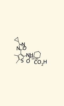 Cc1sc(NC(=O)[C@H]2CCCC[C@@H]2C(=O)O)c(-c2nc(C3CC3)no2)c1C